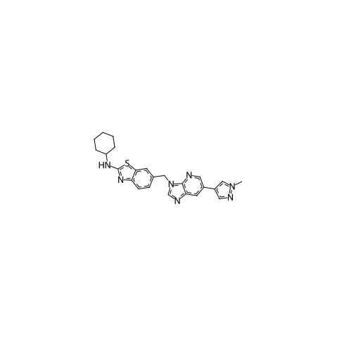 Cn1cc(-c2cnc3c(c2)ncn3Cc2ccc3nc(NC4CCCCC4)sc3c2)cn1